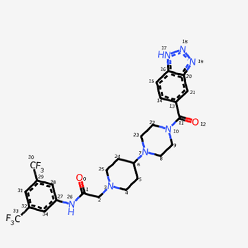 O=C(CN1CCC(N2CCN(C(=O)c3ccc4[nH]nnc4c3)CC2)CC1)Nc1cc(C(F)(F)F)cc(C(F)(F)F)c1